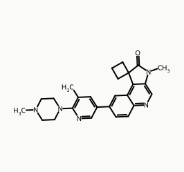 Cc1cc(-c2ccc3ncc4c(c3c2)C2(CCC2)C(=O)N4C)cnc1N1CCN(C)CC1